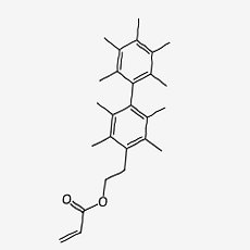 C=CC(=O)OCCc1c(C)c(C)c(-c2c(C)c(C)c(C)c(C)c2C)c(C)c1C